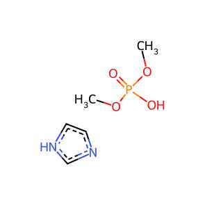 COP(=O)(O)OC.c1c[nH]cn1